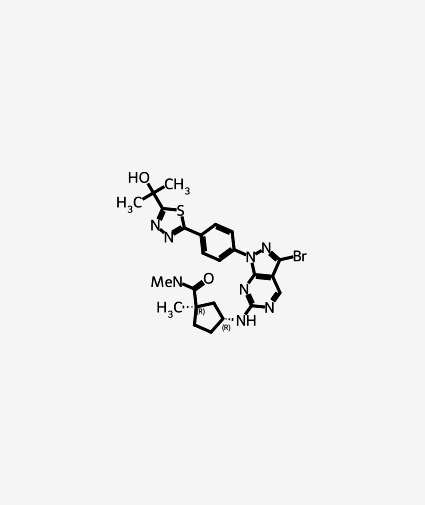 CNC(=O)[C@]1(C)CC[C@@H](Nc2ncc3c(Br)nn(-c4ccc(-c5nnc(C(C)(C)O)s5)cc4)c3n2)C1